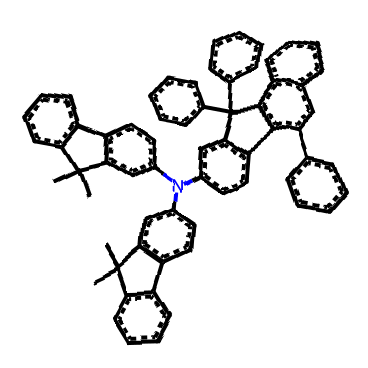 CC1(C)c2ccccc2-c2ccc(N(c3ccc4c(c3)C(C)(C)c3ccccc3-4)c3ccc4c(c3)C(c3ccccc3)(c3ccccc3)c3c-4c(-c4ccccc4)cc4ccccc34)cc21